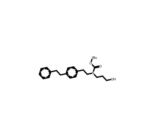 CC(C)(C)OC(=O)N(CCCO)CCc1ccc(CCc2ccccc2)cc1